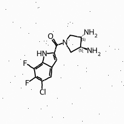 N[C@H]1CN(C(=O)c2cc3cc(Cl)c(F)c(F)c3[nH]2)C[C@@H]1N